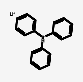 [Li+].c1ccc([BH-](c2ccccc2)c2ccccc2)cc1